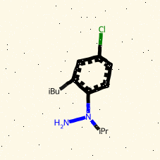 CCC(C)c1cc(Cl)ccc1N(N)C(C)C